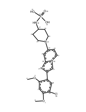 COc1cc(OC)c(-c2cn3ccc(N4CCC(NP(=O)(O)O)CC4)cc3n2)cc1Cl